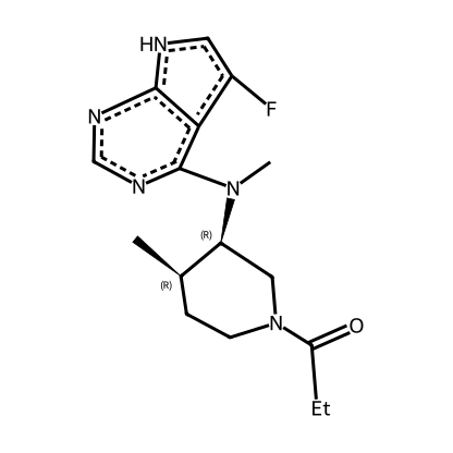 CCC(=O)N1CC[C@@H](C)[C@@H](N(C)c2ncnc3[nH]cc(F)c23)C1